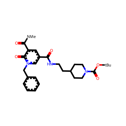 CNC(=O)c1cc(C(=O)NCCC2CCN(C(=O)OC(C)(C)C)CC2)cn(Cc2ccccc2)c1=O